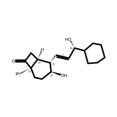 CC(C)[C@@]12CC[C@H](O)[C@@H](/C=C/[C@H](O)C3CCCCC3)[C@@H]1CC2=O